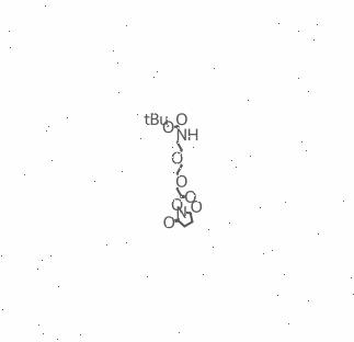 CC(C)(C)OC(=O)NCCOCCOCC(=O)ON1C(=O)CCC1=O